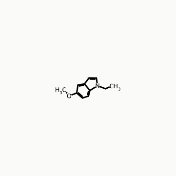 CCn1c[c]c2cc(OC)ccc21